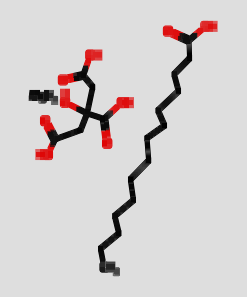 CCCCCCCCCCCCCC(=O)O.O=C(O)CC(O)(CC(=O)O)C(=O)O.[MgH2]